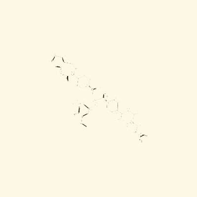 C=Cc1cc(C[C@@H](OC(=O)N2CCC(N3CCc4ccccc4NC3=O)CC2)C(=O)N2CCC(C3CCN(CCC(=O)O)CC3)CC2)cc(Br)c1O